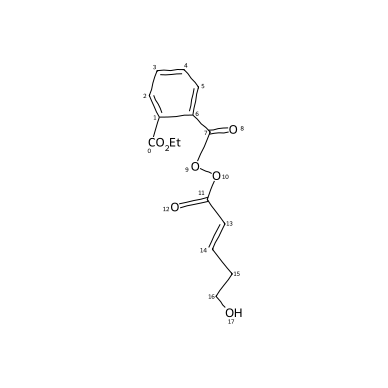 CCOC(=O)c1ccccc1C(=O)OOC(=O)C=CCCO